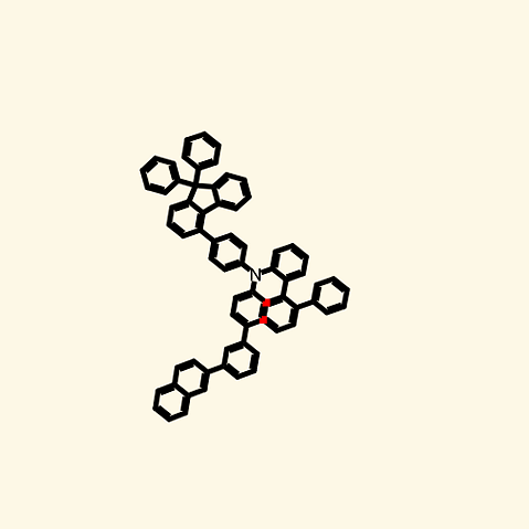 c1ccc(-c2ccccc2-c2ccccc2N(c2ccc(-c3cccc(-c4ccc5ccccc5c4)c3)cc2)c2ccc(-c3cccc4c3-c3ccccc3C4(c3ccccc3)c3ccccc3)cc2)cc1